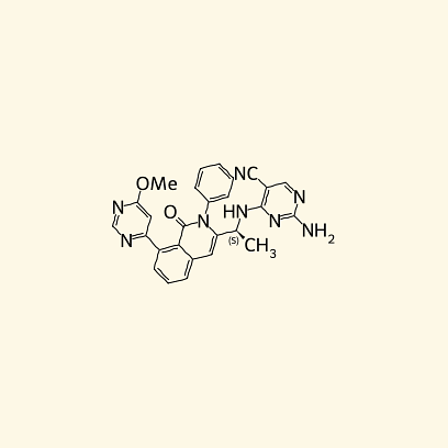 COc1cc(-c2cccc3cc([C@H](C)Nc4nc(N)ncc4C#N)n(-c4ccccc4)c(=O)c23)ncn1